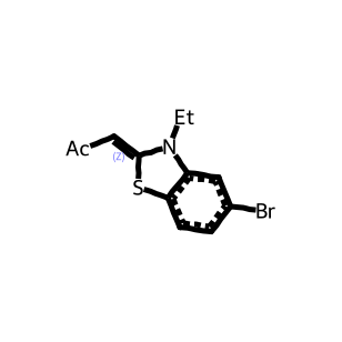 CCN1/C(=C/C(C)=O)Sc2ccc(Br)cc21